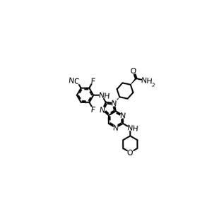 N#Cc1ccc(F)c(Nc2nc3cnc(NC4CCOCC4)nc3n2[C@H]2CC[C@H](C(N)=O)CC2)c1F